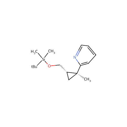 CC(C)(C)[Si](C)(C)OC[C@H]1C[C@]1(C)c1ccccn1